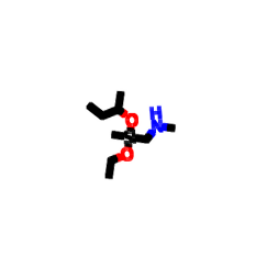 CCO[Si](C)(CNC)OC(C)CC